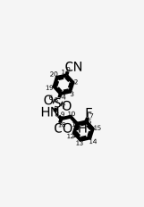 N#Cc1ccc(S(=O)(=O)NC(Cc2ccccc2F)C(=O)O)cc1